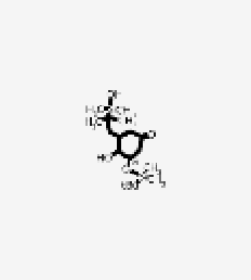 CC(C)(CC1CC(=O)C[C@@H](O[Si](C)(C)C(C)(C)C)C1O)[Si](C)(C)O